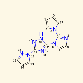 c1ccn(-c2nccn2C2=[N+]C(n3cccn3)=NN2)c1